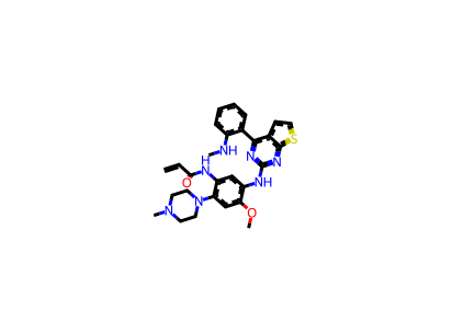 C=CC(=O)Nc1cc(Nc2nc(-c3ccccc3NC)c3ccsc3n2)c(OC)cc1N1CCN(C)CC1